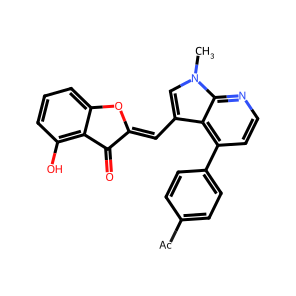 CC(=O)c1ccc(-c2ccnc3c2c(C=C2Oc4cccc(O)c4C2=O)cn3C)cc1